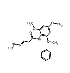 COc1cc(OC)c(NC(=O)CC=NNO)c(OC)c1.c1ccccc1